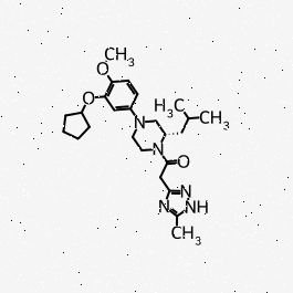 COc1ccc(N2CCN(C(=O)Cc3n[nH]c(C)n3)[C@@H](CC(C)C)C2)cc1OC1CCCC1